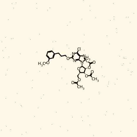 COc1cccc(CCCOc2nc(Cl)c3ncn([C@@H]4O[C@H](COC(C)=O)[C@@H](OC(C)=O)[C@H]4OC(C)=O)c3n2)c1